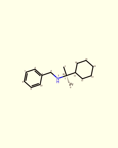 CC(C)[C@@](C)(NCc1ccccc1)C1CCCCC1